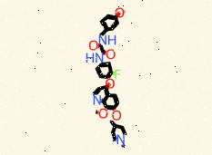 COc1ccc(CNC(=O)C(=O)Nc2ccc(Oc3ccnc4c(OC)c(OCC5CCN(C)CC5)ccc34)c(F)c2)cc1